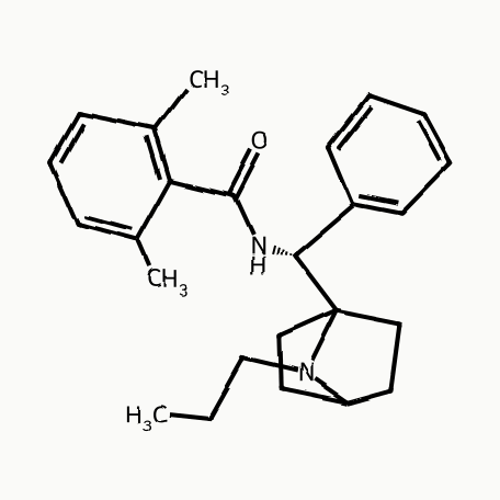 CCCN1C2CCC1([C@H](NC(=O)c1c(C)cccc1C)c1ccccc1)CC2